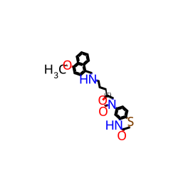 COc1ccc(CNCCC[C@H]2CN(c3ccc4c(c3)NC(=O)CS4)C(=O)O2)c2ccccc12